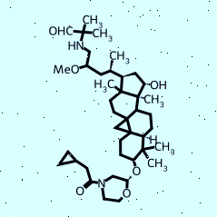 COC(CNC(C)(C)C=O)C[C@@H](C)[C@H]1C[C@H](O)[C@@]2(C)C3CC[C@H]4C(C)(C)C(O[C@H]5CN(C(=O)CC6CC6)CCO5)CCC45CC35CCC12C